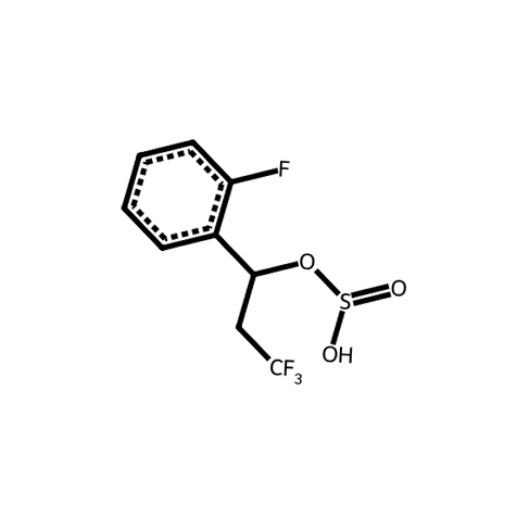 O=S(O)OC(CC(F)(F)F)c1ccccc1F